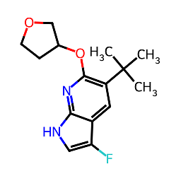 CC(C)(C)c1cc2c(F)c[nH]c2nc1OC1CCOC1